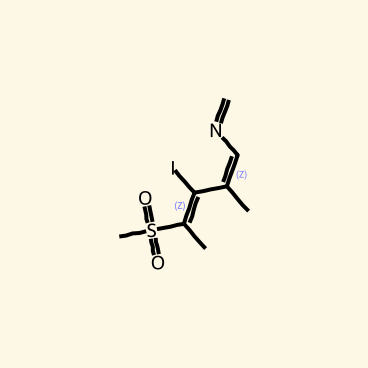 C=N/C=C(C)\C(I)=C(/C)S(C)(=O)=O